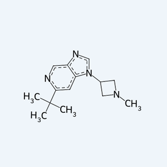 CN1CC(n2cnc3cnc(C(C)(C)C)cc32)C1